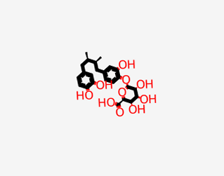 C[C@H](Cc1ccc(O)c(O)c1)[C@@H](C)Cc1ccc(O[C@@H]2O[C@H](C(=O)O)[C@@H](O)[C@H](O)[C@H]2O)c(O)c1